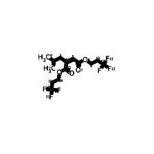 CC(C)C/C(=C/C(=O)OCCC(F)(F)F)C(=O)OCCC(F)(F)F